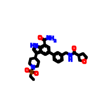 CCS(=O)(=O)N1CCC(c2c[nH]c3c(C(N)=O)cc(-c4cccc(CNC(=O)C5CCOC5)c4)cc23)CC1